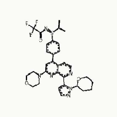 CC(C)/S(=N/C(=O)C(F)(F)F)c1ccc(-c2cc(N3CCOCC3)nc3c(-c4ccnn4C4CCCCO4)nccc23)cc1